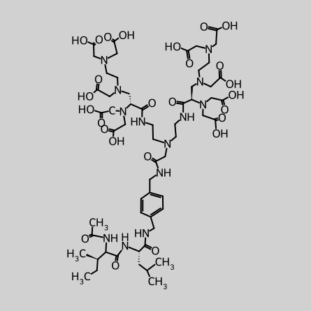 CC[C@@H](C)C(NC(C)=O)C(=O)N[C@@H](CC(C)C)C(=O)NCc1ccc(CNC(=O)CN(CCNC(=O)[C@@H](CN(CCN(CC(=O)O)CC(=O)O)CC(=O)O)N(CC(=O)O)CC(=O)O)CCNC(=O)[C@@H](CN(CCN(CC(=O)O)CC(=O)O)CC(=O)O)N(CC(=O)O)CC(=O)O)cc1